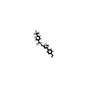 CCc1ccc(-c2cc(COC(=O)c3ccc(C(F)(F)F)nc3)on2)cc1